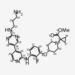 COC(=O)C1(N2CCC(Oc3cccc(Nc4cc(-c5cnc(NCCCN)nc5)ccn4)c3F)CC2)CC1